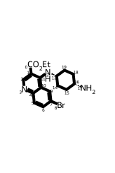 CCOC(=O)c1cnc2ccc(Br)cc2c1N[C@H]1CC[C@@H](N)CC1